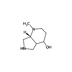 CN1CCC(O)C2CNC[C@@H]21